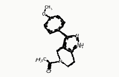 COc1ccc(-c2n[nH]c3c2CN(C(C)=O)CC3)cc1